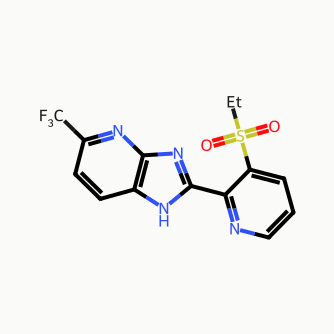 CCS(=O)(=O)c1cccnc1-c1nc2nc(C(F)(F)F)ccc2[nH]1